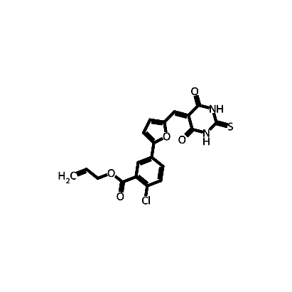 C=CCOC(=O)c1cc(-c2ccc(C=C3C(=O)NC(=S)NC3=O)o2)ccc1Cl